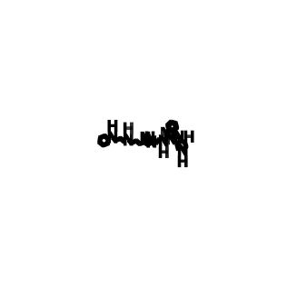 c1ccc2c(NC3CCNCC3)nc(NCCn3cc(CCCNCCCNC4CCCCC4)nn3)nc2c1